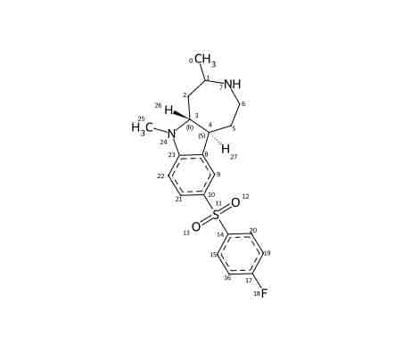 CC1C[C@@H]2[C@@H](CCN1)c1cc(S(=O)(=O)c3ccc(F)cc3)ccc1N2C